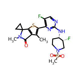 Cc1c(-c2nc(N[C@H]3CCN(S(C)(=O)=O)C[C@H]3F)ncc2F)sc2c1C(=O)N(C)C21CC1